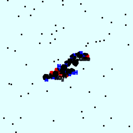 COc1cc(CN2CCN(C3CC4(CCN(c5ccc(C(=O)NS(=O)(=O)c6cc7c(c([N+](=O)[O-])c6)N[C@H](Cc6ccccn6)CO7)c(N6c7cc8cc[nH]c8nc7O[C@H]7COCC[C@@H]76)c5)CC4)C3)[C@H](c3ccccc3C)C2)cnc1N1CCOCC1